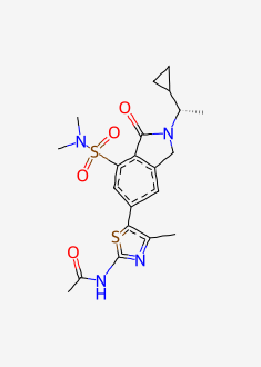 CC(=O)Nc1nc(C)c(-c2cc3c(c(S(=O)(=O)N(C)C)c2)C(=O)N([C@@H](C)C2CC2)C3)s1